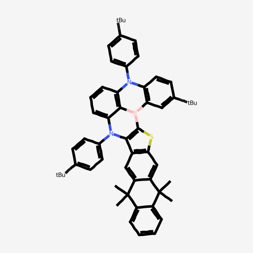 CC(C)(C)c1ccc(N2c3ccc(C(C)(C)C)cc3B3c4sc5cc6c(cc5c4N(c4ccc(C(C)(C)C)cc4)c4cccc2c43)C(C)(C)c2ccccc2C6(C)C)cc1